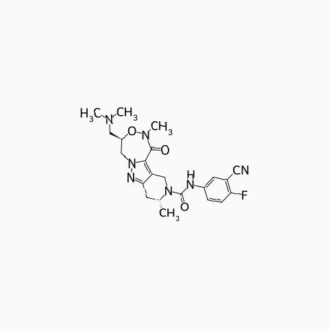 C[C@@H]1Cc2nn3c(c2CN1C(=O)Nc1ccc(F)c(C#N)c1)C(=O)N(C)O[C@H](CN(C)C)C3